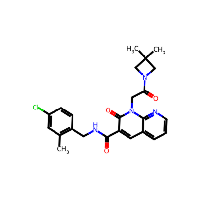 Cc1cc(Cl)ccc1CNC(=O)c1cc2cccnc2n(CC(=O)N2CC(C)(C)C2)c1=O